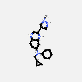 Cn1cc(-c2cnc3ccc(N(CC4CC4)c4ccccc4)cc3n2)cn1